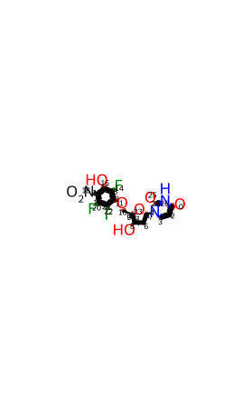 O=c1ccn([C@H]2C[C@H](O)[C@@H](COc3c(F)c(O)c([N+](=O)[O-])c(F)c3F)O2)c(=O)[nH]1